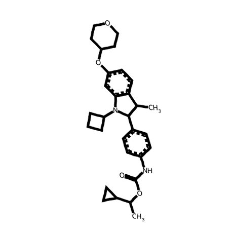 CC(OC(=O)Nc1ccc(C2C(C)c3ccc(OC4CCOCC4)cc3N2C2CCC2)cc1)C1CC1